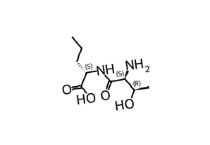 CCC[C@H](NC(=O)[C@@H](N)[C@@H](C)O)C(=O)O